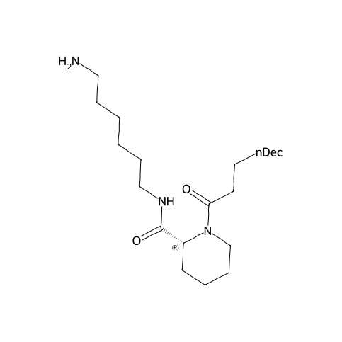 CCCCCCCCCCCCC(=O)N1CCCC[C@@H]1C(=O)NCCCCCCN